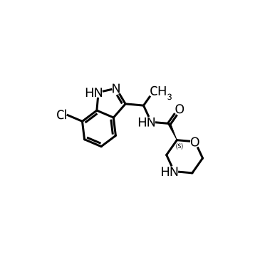 CC(NC(=O)[C@@H]1CNCCO1)c1n[nH]c2c(Cl)cccc12